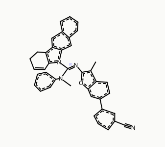 Cc1c(/N=C(\N(C)c2ccccc2)n2c3c(c4cc5ccccc5cc42)CCC=C3)oc2cc(-c3cccc(C#N)c3)ccc12